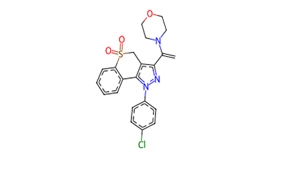 C=C(c1nn(-c2ccc(Cl)cc2)c2c1CS(=O)(=O)c1ccccc1-2)N1CCOCC1